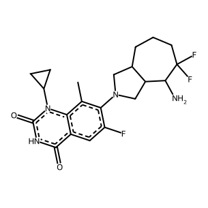 Cc1c(N2CC3CCCC(F)(F)C(N)C3C2)c(F)cc2c(=O)[nH]c(=O)n(C3CC3)c12